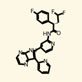 O=C(Nc1cc(-c2[nH]c3nccnc3c2-c2ccccn2)ccn1)[C@@H](CC(F)F)c1ccc(F)cc1